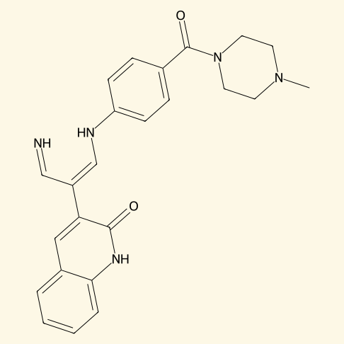 CN1CCN(C(=O)c2ccc(N/C=C(\C=N)c3cc4ccccc4[nH]c3=O)cc2)CC1